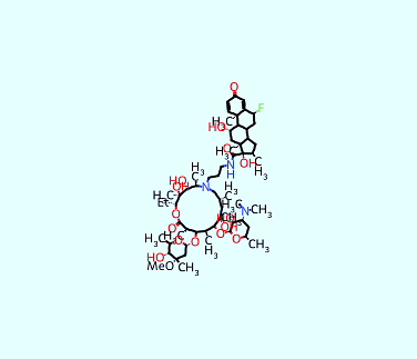 CC[C@H]1OC(=O)[C@H](C)C(O[C@@H]2C[C@](C)(OC)[C@H](O)C(C)O2)[C@H](C)C(O[C@@H]2O[C@H](C)C[C@@H](N(C)C)[C@H]2O)[C@](C)(O)C[C@@H](C)CN(CCCNC(=O)[C@@]2(O)[C@H](C)CC3C4C[C@H](F)C5=CC(=O)C=C[C@]5(C)C4[C@@H](O)C[C@@]32C)[C@H](C)[C@@H](O)[C@]1(C)O